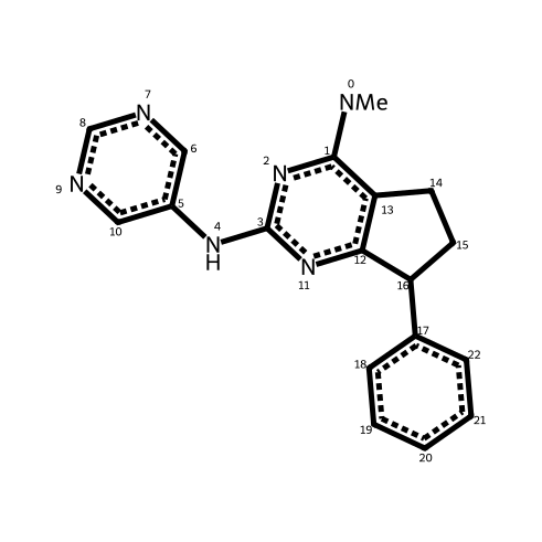 CNc1nc(Nc2cncnc2)nc2c1CCC2c1ccccc1